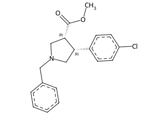 COC(=O)[C@H]1CN(Cc2ccccc2)C[C@H]1c1ccc(Cl)cc1